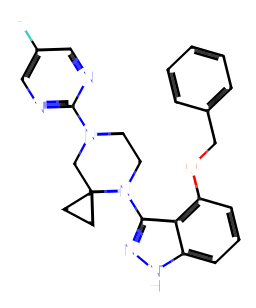 Fc1cnc(N2CCN(c3n[nH]c4cccc(OCc5ccccc5)c34)C3(CC3)C2)nc1